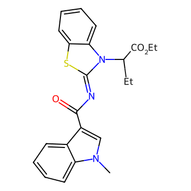 CCOC(=O)C(CC)n1c(=NC(=O)c2cn(C)c3ccccc23)sc2ccccc21